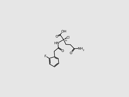 NC(=O)CC[C@](Cl)(NC(=O)Cc1ccccc1F)C(=O)O